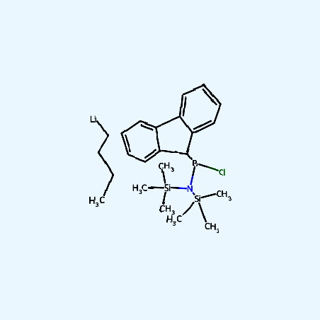 C[Si](C)(C)N(B(Cl)C1c2ccccc2-c2ccccc21)[Si](C)(C)C.[Li][CH2]CCC